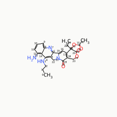 CCCNc1c2c(nc3cccc(N)c13)-c1cc3c(c(=O)n1C2)COC(=O)[C@@]3(CC)OC(C)=O